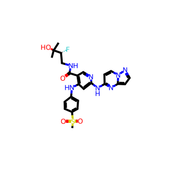 CC(C)(O)[C@H](F)CNC(=O)c1cnc(Nc2ccn3nccc3n2)cc1Nc1ccc(S(C)(=O)=O)cc1